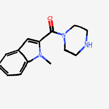 Cn1c(C(=O)N2CCNCC2)cc2ccccc21